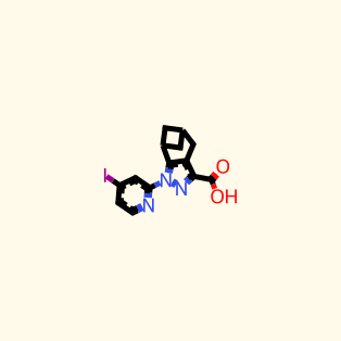 O=C(O)c1nn(-c2cc(I)ccn2)c2c1CC1CC2C1